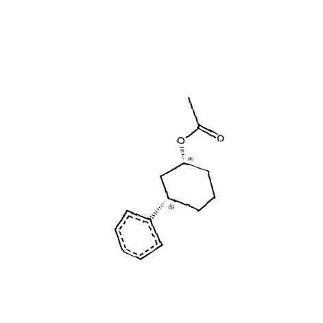 CC(=O)O[C@@H]1CCC[C@H](c2ccccc2)C1